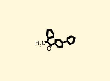 C=C(C(=O)c1ccc(-c2ccccc2)cc1)c1ccccc1